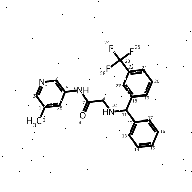 Cc1cncc(NC(=O)CNC(c2ccccc2)c2cccc(C(F)(F)F)c2)c1